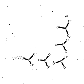 [O-]P([O-])[O-].[O-]P([O-])[O-].[O-]P([O-])[O-].[O-]P([O-])[O-].[O-]P([O-])[O-].[V+5].[V+5].[V+5]